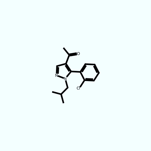 CC(=O)c1cnn(CC(C)C)c1-c1ccccc1Cl